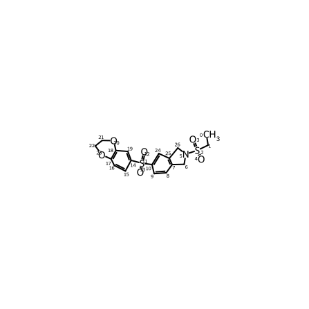 CCS(=O)(=O)N1Cc2ccc(S(=O)(=O)c3ccc4c(c3)OCCO4)cc2C1